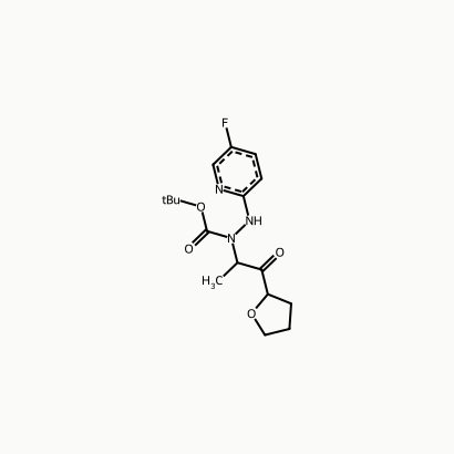 CC(C(=O)C1CCCO1)N(Nc1ccc(F)cn1)C(=O)OC(C)(C)C